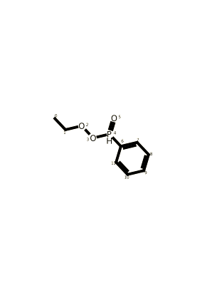 CCOO[PH](=O)c1ccccc1